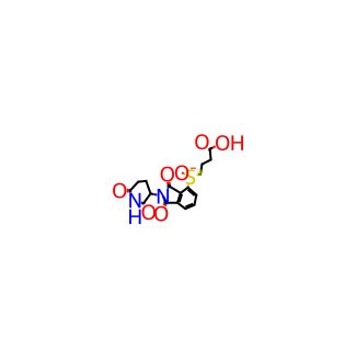 O=C(O)CCC[S+]([O-])c1cccc2c1C(=O)N(C1CCC(=O)NC1=O)C2=O